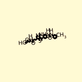 Cc1cccc(NC(=O)Nc2ccc(-c3csc4c(/C=C/C(=O)NCC(O)CO)cnc(N)c34)cc2)c1